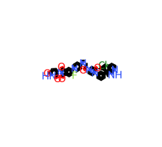 CN(CC(=O)N1CCN(c2cccc(C3(C4CC4)CNc4nccc(Cl)c43)c2)C(=O)C1)C1CCN(c2cc3c(cc2F)C(=O)N(C2CCC(=O)NC2=O)C3=O)CC1